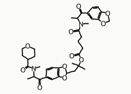 CC(C(=O)c1ccc2c(c1)OCO2)N(C)C(=O)CCCC(=O)OC(C)(C)CC1Oc2ccc(C(=O)C(C)N(C)C(=O)C3CCOCC3)cc2O1